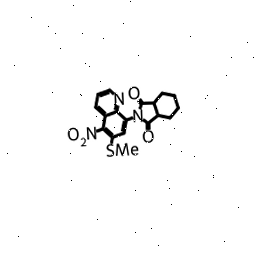 CSc1cc(N2C(=O)C3CCCCC3C2=O)c2ncccc2c1[N+](=O)[O-]